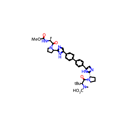 COC(=O)N[C@@H](C)C(=O)N1CCCC1c1ncc(-c2ccc(-c3ccc(-c4cnc([C@@H]5CCCN5C(=O)[C@@H](N(C)C(=O)O)C(C)(C)C)[nH]4)cc3)cc2)[nH]1